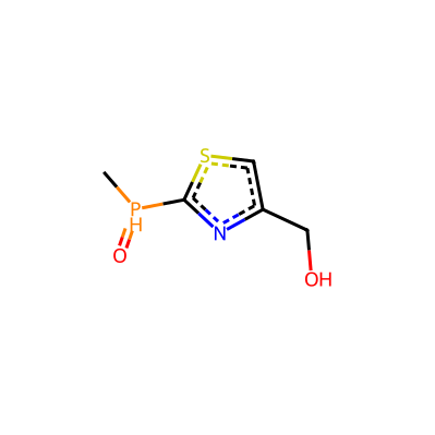 C[PH](=O)c1nc(CO)cs1